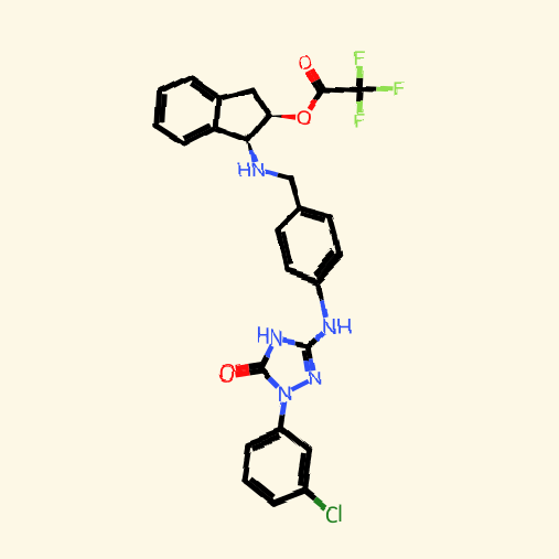 O=C(O[C@@H]1Cc2ccccc2[C@@H]1NCc1ccc(Nc2nn(-c3cccc(Cl)c3)c(=O)[nH]2)cc1)C(F)(F)F